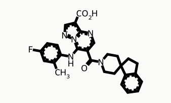 Cc1cc(F)ccc1Nc1c(C(=O)N2CCC3(CCc4ccccc43)CC2)cnc2c(C(=O)O)cnn12